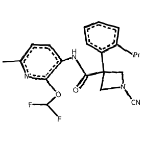 Cc1ccc(NC(=O)C2(c3ccccc3C(C)C)CN(C#N)C2)c(OC(F)F)n1